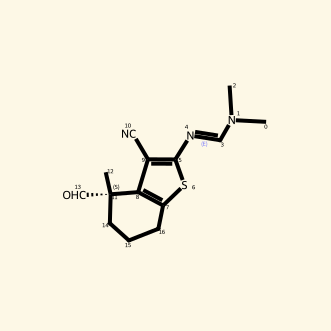 CN(C)/C=N/c1sc2c(c1C#N)[C@@](C)(C=O)CCC2